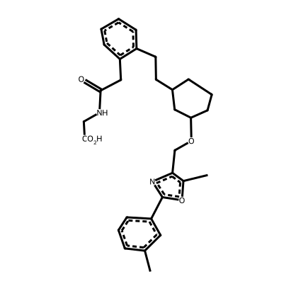 Cc1cccc(-c2nc(COC3CCCC(CCc4ccccc4CC(=O)NCC(=O)O)C3)c(C)o2)c1